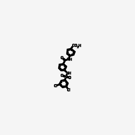 O=C(O)c1ccc(NC(=O)c2cccc(NS(=O)(=O)c3cc(Cl)cc(Cl)c3)c2)cc1